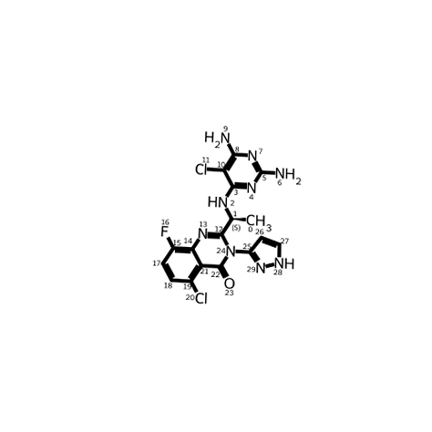 C[C@H](Nc1nc(N)nc(N)c1Cl)c1nc2c(F)ccc(Cl)c2c(=O)n1-c1cc[nH]n1